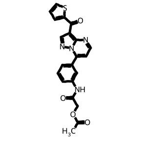 CC(=O)OCC(=O)Nc1cccc(-c2ccnc3c(C(=O)c4cccs4)cnn23)c1